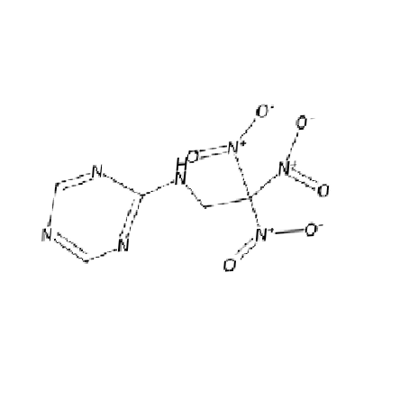 O=[N+]([O-])C(CNc1ncncn1)([N+](=O)[O-])[N+](=O)[O-]